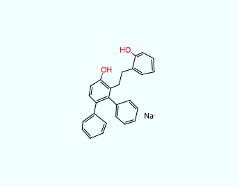 Oc1ccccc1CCc1c(O)ccc(-c2ccccc2)c1-c1ccccc1.[Na]